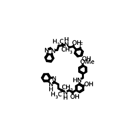 CC(C)(CCn1cnc2ccccc21)NCC(O)c1ccc(O)cc1F.COc1ccc(CNc2cc(C(O)CNC(C)(C)CCc3nc4ccccc4[nH]3)ccc2O)cc1